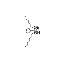 CCCCCCCCC(CCCCCCCC)(c1ccccc1)P(=O)(O)O